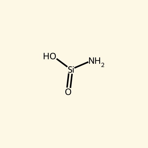 N[Si](=O)O